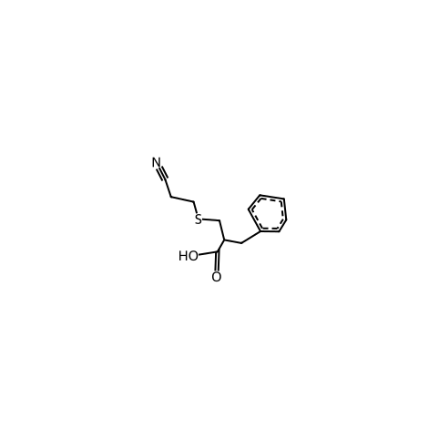 N#CCCSCC(Cc1ccccc1)C(=O)O